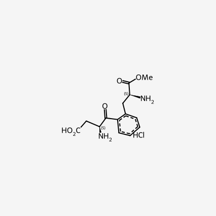 COC(=O)[C@@H](N)Cc1ccccc1C(=O)[C@@H](N)CC(=O)O.Cl